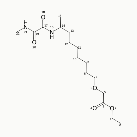 CCOC(=O)COCCCCCCCC(C)NC(=O)C(=O)NC